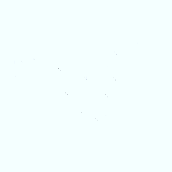 CC#CCN1c2c(n(C)c(=O)[nH]c2=O)N(Cc2nc(C)c3ccccc3n2)C1N1CCC[C@@H](N)C1